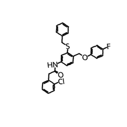 O=C(Cc1ccccc1Cl)Nc1ccc(COc2ccc(F)cc2)c(SCc2ccccc2)c1